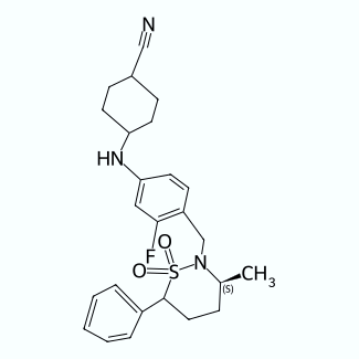 C[C@H]1CCC(c2ccccc2)S(=O)(=O)N1Cc1ccc(NC2CCC(C#N)CC2)cc1F